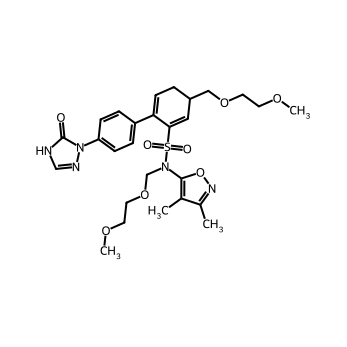 COCCOCC1C=C(S(=O)(=O)N(COCCOC)c2onc(C)c2C)C(c2ccc(-n3nc[nH]c3=O)cc2)=CC1